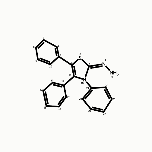 NN=c1sc(-c2ccccc2)c(-c2ccccc2)n1-c1ccccc1